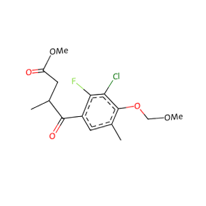 COCOc1c(C)cc(C(=O)C(C)CC(=O)OC)c(F)c1Cl